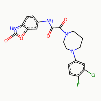 O=C(Nc1ccc2[nH]c(=O)oc2c1)C(=O)N1CCCN(c2ccc(F)c(Cl)c2)CC1